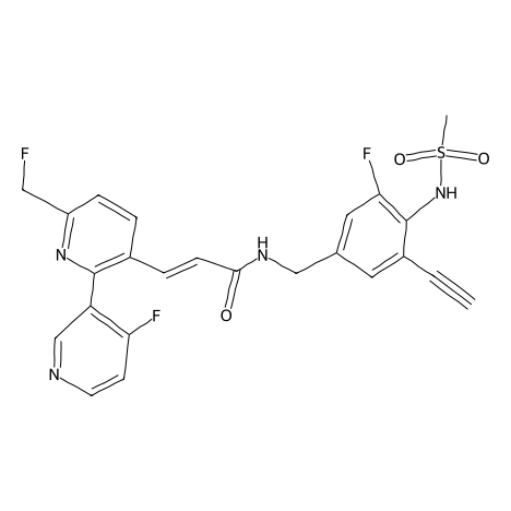 C#Cc1cc(CNC(=O)/C=C/c2ccc(CF)nc2-c2cnccc2F)cc(F)c1NS(C)(=O)=O